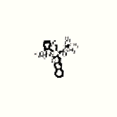 C=CCN(C(=O)OC(C)(C)C)C(Cc1ccc2ccccc2c1)C(=O)N(C)Cc1ccccc1OC